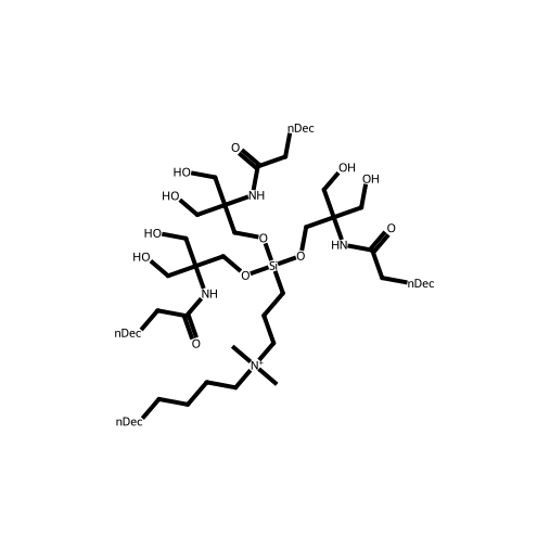 CCCCCCCCCCCCCC[N+](C)(C)CCC[Si](OCC(CO)(CO)NC(=O)CCCCCCCCCCC)(OCC(CO)(CO)NC(=O)CCCCCCCCCCC)OCC(CO)(CO)NC(=O)CCCCCCCCCCC